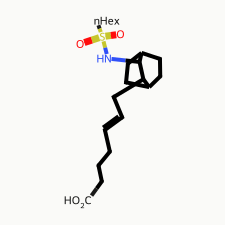 CCCCCCS(=O)(=O)NC1C2CCC(CC2)C1CC=CCCCC(=O)O